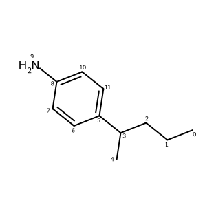 CCCC(C)c1ccc(N)cc1